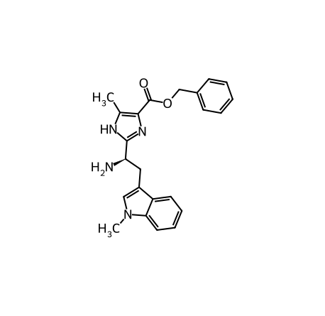 Cc1[nH]c([C@H](N)Cc2cn(C)c3ccccc23)nc1C(=O)OCc1ccccc1